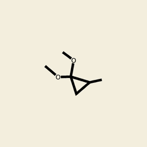 COC1(OC)CC1C